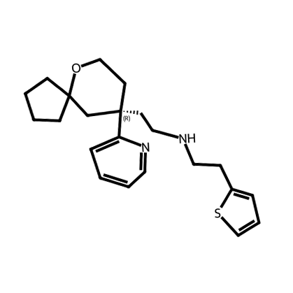 c1ccc([C@]2(CCNCCc3cccs3)CCOC3(CCCC3)C2)nc1